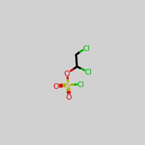 O=S(=O)(Cl)OC(Cl)CCl